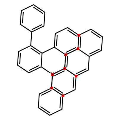 c1ccc(-c2ccccc2-c2c(-c3ccccc3)cccc2N(c2ccccc2)c2ccc3ccccc3c2)cc1